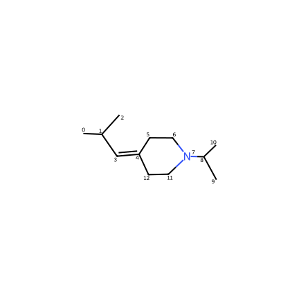 CC(C)C=C1CCN(C(C)C)CC1